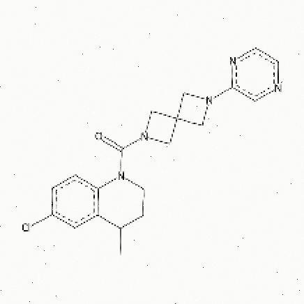 CC1CCN(C(=O)N2CC3(C2)CN(c2cnccn2)C3)c2ccc(Cl)cc21